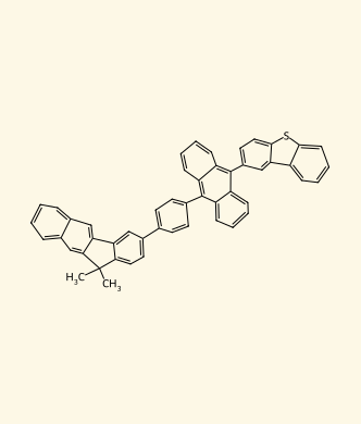 CC1(C)c2ccc(-c3ccc(-c4c5ccccc5c(-c5ccc6sc7ccccc7c6c5)c5ccccc45)cc3)cc2-c2cc3ccccc3cc21